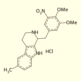 COc1cc(CC2NCCc3c2[nH]c2ccc(C)cc32)cc([N+](=O)[O-])c1OC.Cl